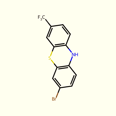 FC(F)(F)c1ccc2c(c1)Sc1cc(Br)ccc1N2